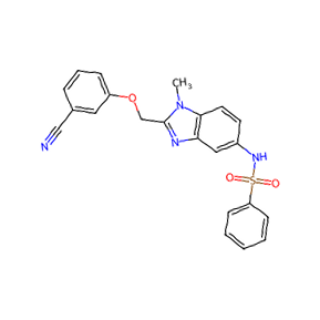 Cn1c(COc2cccc(C#N)c2)nc2cc(NS(=O)(=O)c3ccccc3)ccc21